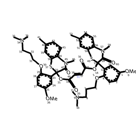 COc1ccc(OCCCN(C)C)c(C2(OC(=O)/C=C/C(=O)OC3(c4cc(OC)ccc4OCCCN(C)C)Sc4cc(C)ccc4N(C)C3=O)Sc3cc(C)ccc3N(C)C2=O)c1